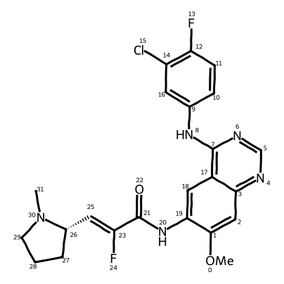 COc1cc2ncnc(Nc3ccc(F)c(Cl)c3)c2cc1NC(=O)C(F)=C[C@@H]1CCCN1C